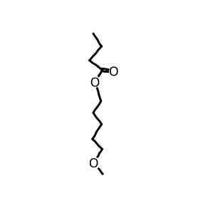 CCCC(=O)OCCCCCOC